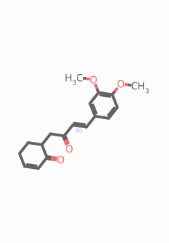 COc1ccc(/C=C/C(=O)CC2CCC=CC2=O)cc1OC